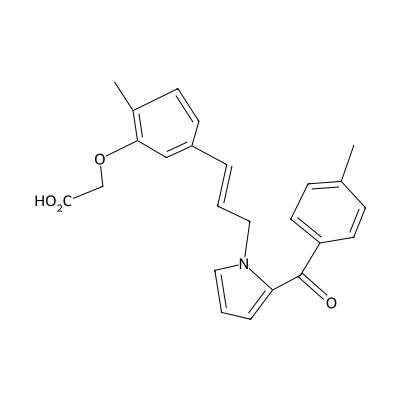 Cc1ccc(C(=O)c2cccn2C/C=C/c2ccc(C)c(OCC(=O)O)c2)cc1